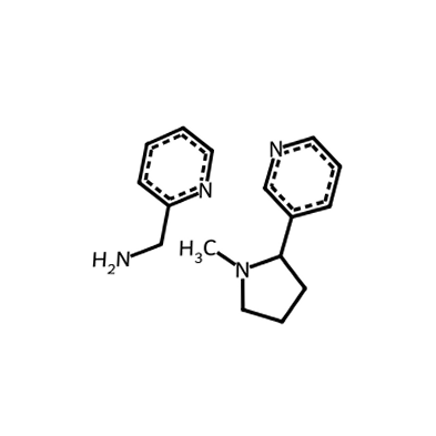 CN1CCCC1c1cccnc1.NCc1ccccn1